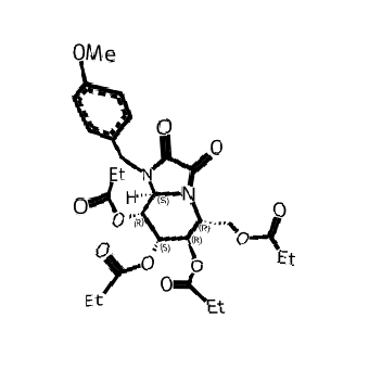 CCC(=O)OC[C@@H]1[C@@H](OC(=O)CC)[C@H](OC(=O)CC)[C@H](OC(=O)CC)[C@H]2N(Cc3ccc(OC)cc3)C(=O)C(=O)N12